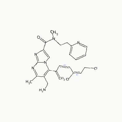 C=C(/C=C\C(Cl)=C/CCl)c1c(CN)c(C)nc2nc(C(=O)N(C)CCc3ccccn3)cn12